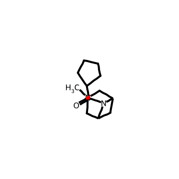 CN1CC2CC(C1)N2C(=O)C1CCCC1